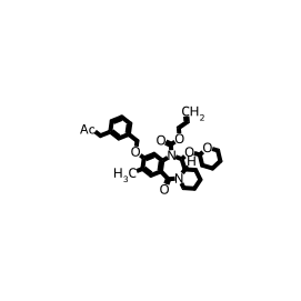 C=CCOC(=O)N1c2cc(OCc3cccc(CC(C)=O)c3)c(C)cc2C(=O)N2CCCC[C@H]2C1OC1CCCCO1